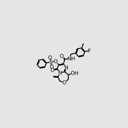 C=C1COCC(O)c2nc(C(=O)NCc3ccc(F)c(C)c3)c(OS(=O)(=O)c3ccccc3)c(=O)n21